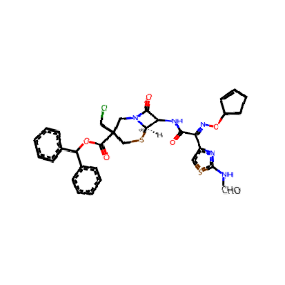 O=CNc1nc(C(=NOC2C=CCC2)C(=O)NC2C(=O)N3CC(CCl)(C(=O)OC(c4ccccc4)c4ccccc4)CS[C@H]23)cs1